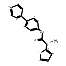 N[C@@H](C(=O)Nc1ccc(-c2ccncc2)cc1)c1cccs1